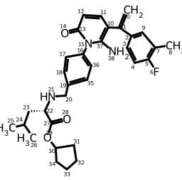 C=C(c1ccc(F)c(C)c1)c1ccc(=O)n(-c2ccc(CN[C@@H](CC(C)C)C(=O)OC3CCCC3)cc2)c1N